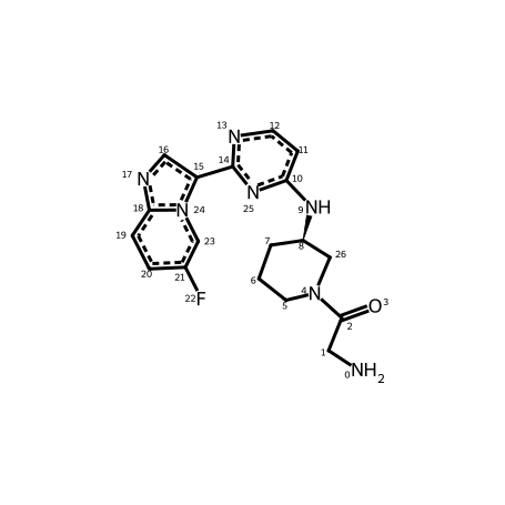 NCC(=O)N1CCC[C@@H](Nc2ccnc(-c3cnc4ccc(F)cn34)n2)C1